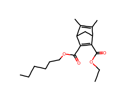 CCCCCCOC(=O)C1=C(C(=O)OCC)C2CC1C(C)=C2C